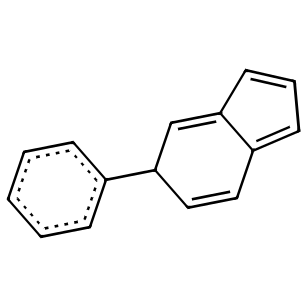 C1=CC2=CC(c3ccccc3)C=CC2=C1